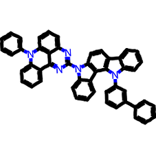 c1ccc(-c2cccc(-n3c4ccccc4c4ccc5c(c6ccccc6n5-c5nc6c7c(cccc7n5)N(c5ccccc5)c5ccccc5-6)c43)c2)cc1